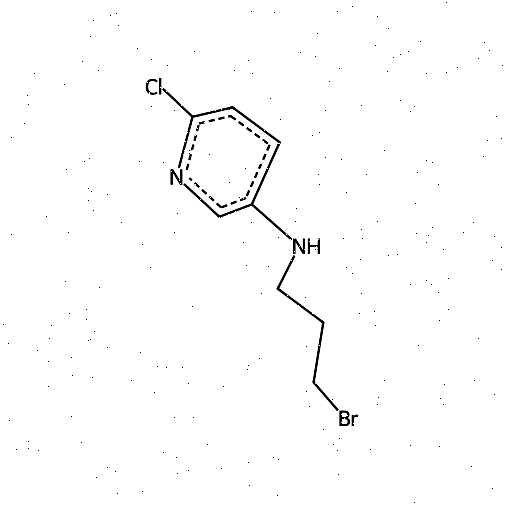 Clc1ccc(NCCCBr)cn1